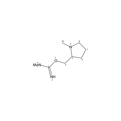 CNC(=N)OCC1CCCN1C